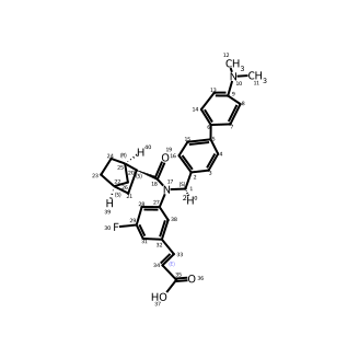 [2H][C@@H](c1ccc(-c2ccc(N(C)C)cc2)cc1)N(C(=O)[C@H]1C[C@H]2CC[C@@H]1C2)c1cc(F)cc(/C=C/C(=O)O)c1